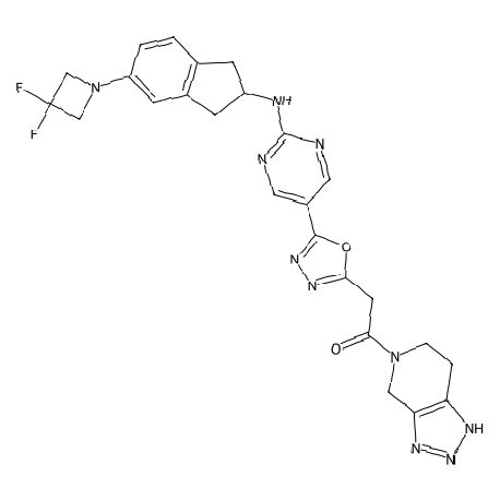 O=C(Cc1nnc(-c2cnc(NC3Cc4ccc(N5CC(F)(F)C5)cc4C3)nc2)o1)N1CCc2[nH]nnc2C1